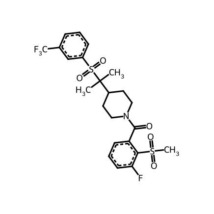 CC(C)(C1CCN(C(=O)c2cccc(F)c2S(C)(=O)=O)CC1)S(=O)(=O)c1cccc(C(F)(F)F)c1